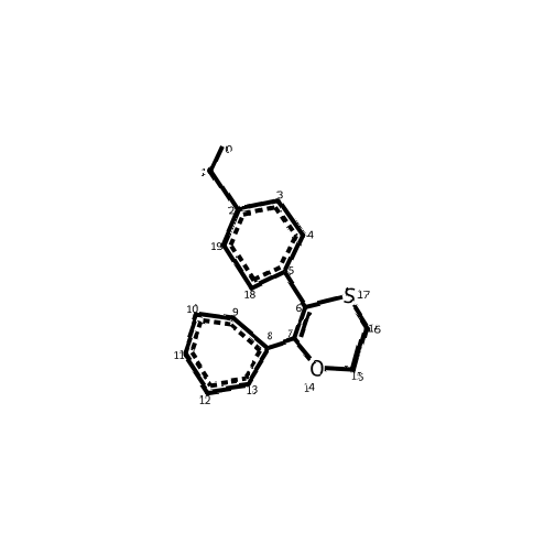 CCc1ccc(C2=C(c3ccccc3)OCCS2)cc1